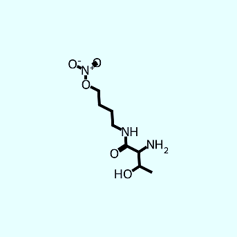 CC(O)C(N)C(=O)NCCCCO[N+](=O)[O-]